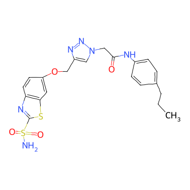 CCCc1ccc(NC(=O)Cn2cc(COc3ccc4nc(S(N)(=O)=O)sc4c3)nn2)cc1